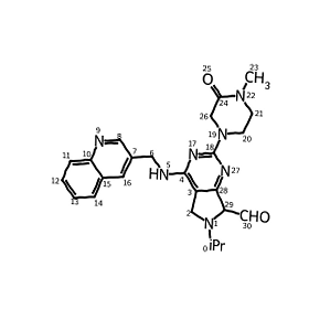 CC(C)N1Cc2c(NCc3cnc4ccccc4c3)nc(N3CCN(C)C(=O)C3)nc2C1C=O